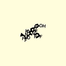 O=C(NC(C1CC1)C(F)(F)F)c1cn(-c2ncc(F)cc2F)c2nc(N3CC[C@H](O)C3)ccc2c1=O